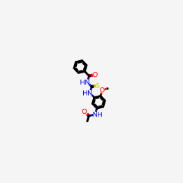 COc1ccc(NC(C)=O)cc1NC(=S)NC(=O)c1ccccc1